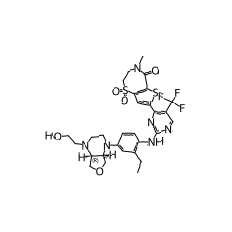 CCc1cc(N2CCN(CCO)[C@H]3COC[C@H]32)ccc1Nc1ncc(C(F)(F)F)c(-c2cc3c(s2)C(=O)N(C)CCS3(=O)=O)n1